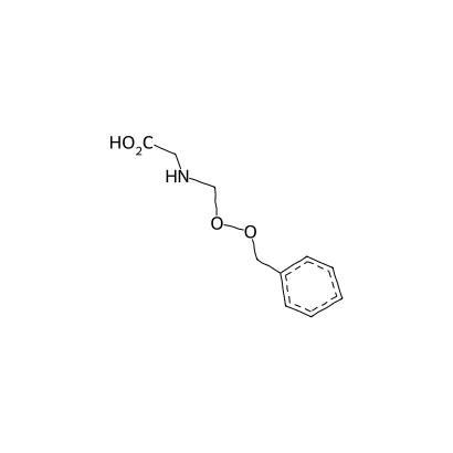 O=C(O)CNCOOCc1ccccc1